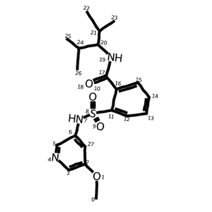 COc1cncc(NS(=O)(=O)c2ccccc2C(=O)NC(C(C)C)C(C)C)c1